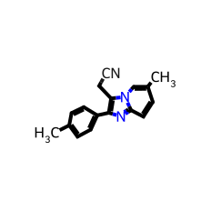 Cc1ccc(-c2nc3ccc(C)cn3c2CC#N)cc1